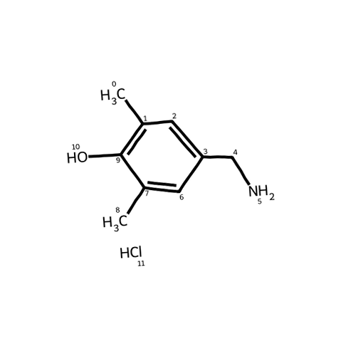 Cc1cc(CN)cc(C)c1O.Cl